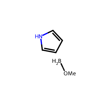 BOC.c1cc[nH]c1